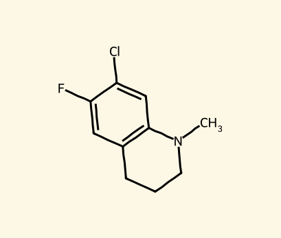 CN1CCCc2cc(F)c(Cl)cc21